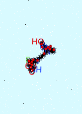 Cc1nn2c(N3CCN(CCO)CC3)cc(CCCCCCCCCN3CCC(c4cc(F)cc5c4CN(C4CCC(=O)NC4=O)C5=O)CC3)nc2c1-c1ccccc1